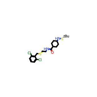 CC(C)(C)SNC1CCC(C(=O)NCCSCc2c(Cl)cccc2Cl)CC1